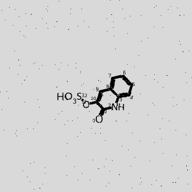 O=c1[nH]c2ccccc2cc1OS(=O)(=O)O